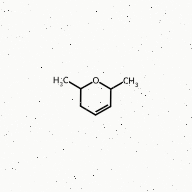 CC1C=CCC(C)O1